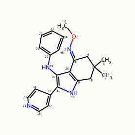 CO/N=C1\CC(C)(C)Cc2[nH]c(-c3ccncc3)c(Nc3ccccc3)c21